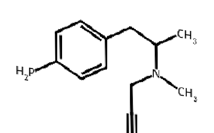 C#CCN(C)C(C)Cc1ccc(P)cc1